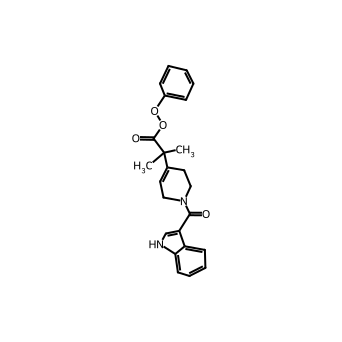 CC(C)(C(=O)OOc1ccccc1)C1=CCN(C(=O)c2c[nH]c3ccccc23)CC1